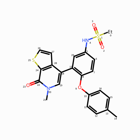 CCS(=O)(=O)Nc1ccc(Oc2ccc(C)cc2)c(-c2cn(C)c(=O)c3sccc23)c1